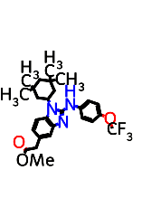 COC(=O)Cc1ccc2c(c1)nc(Nc1ccc(OC(F)(F)F)cc1)n2C1CC(C)(C)CC(C)(C)C1